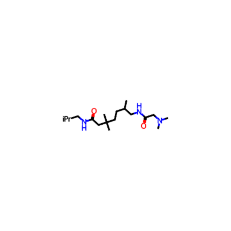 CC(C)CNC(=O)CC(C)(C)CCC(C)CNC(=O)CN(C)C